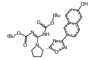 CC(C)(C)OC(=O)/N=C(/NC(=O)OC(C)(C)C)N1CCC[C@H]1c1nc(-c2ccc3cc(O)ccc3c2)no1